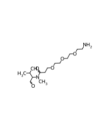 CC(C)C(C=O)N(C)C(=O)CCOCCOCCOCCN